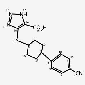 N#Cc1ccc(C2CCC(Sc3nn[nH]c3C(=O)O)CC2)cc1